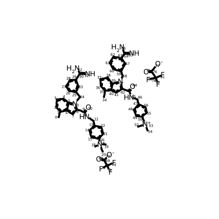 Cc1cccc2c1cc(C(=O)NCc1ccc([N+](C)(C)C)cc1)n2Cc1cccc(C(=N)N)c1.Cc1cccc2c1cc(C(=O)NCc1ccc([N+](C)(C)C)cc1)n2Cc1cccc(C(=N)N)c1.O=C([O-])C(F)(F)F.O=C([O-])C(F)(F)F